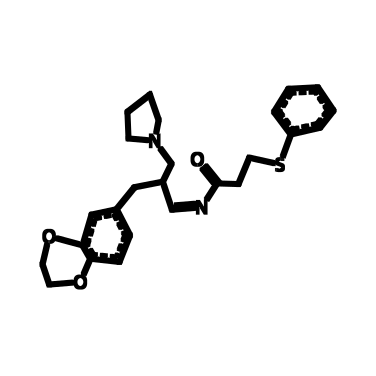 O=C(CCSc1ccccc1)/N=C\C(Cc1ccc2c(c1)OCCO2)CN1CCCC1